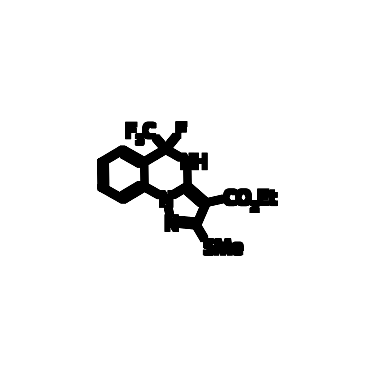 CCOC(=O)c1c(SC)nn2c1NC(F)(C(F)(F)F)c1ccccc1-2